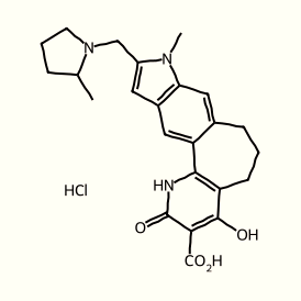 CC1CCCN1Cc1cc2cc3c(cc2n1C)CCCc1c-3[nH]c(=O)c(C(=O)O)c1O.Cl